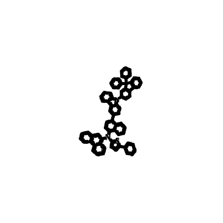 c1ccc(-c2ccc(N(c3ccc(-c4ccc5c(c4)c4ccccc4n5-c4ccc5c(c4)C(c4ccccc4)(c4ccccc4)c4ccccc4-5)c4ccccc34)c3cc4ccccc4c4ccccc34)s2)cc1